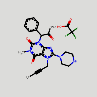 CC#CCn1c(N2CCNCC2)nc2c1c(=O)n(C)c(=O)n2C(C(=O)OC)c1ccccc1.O=C(O)C(F)(F)F